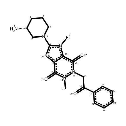 CCn1c(N2CCC[C@@H](N)C2)nc2c(=O)n(C)n(CC(=O)c3ccccc3)c(=O)c21